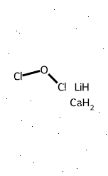 ClOCl.[CaH2].[LiH]